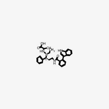 CCN(NC(C)C(=O)O)[C@@H](CCNC(=O)c1ccccc1-c1c[nH]c2ccccc12)c1ccccc1